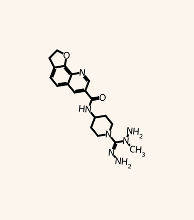 CN(N)/C(=N\N)N1CCC(NC(=O)c2cnc3c4c(ccc3c2)CCO4)CC1